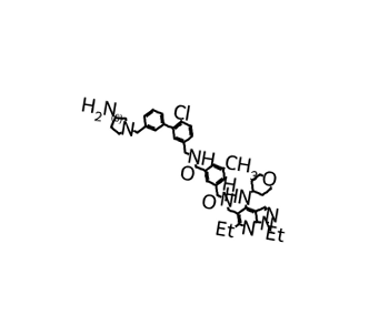 CCc1nc2c(cnn2CC)c(NC2CCOCC2)c1CNC(=O)c1cc(C)cc(C(=O)NCc2ccc(Cl)c(-c3cccc(CN4CC[C@H](N)C4)c3)c2)c1